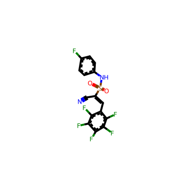 N#CC(=Cc1c(F)c(F)c(F)c(F)c1F)S(=O)(=O)Nc1ccc(F)cc1